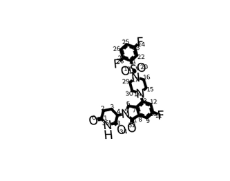 O=C1CCC(N2Cc3c(cc(F)cc3N3CCN(S(=O)(=O)c4cc(F)ccc4F)CC3)C2=O)C(=O)N1